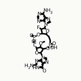 COC1C2CO[PH](=O)OC3C(CCP(=O)(O)OC1C(n1cnc4c(=O)[nH]c(N)nc41)O2)OC(n1cnc2c(N)ncnc21)C3F